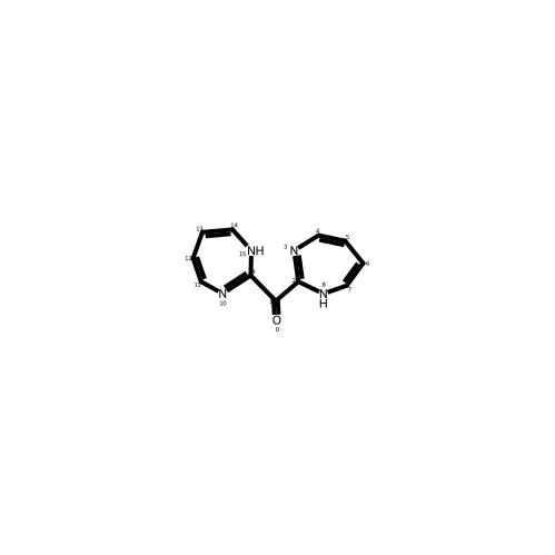 O=C(C1=NC=CC=CN1)C1=NC=CC=CN1